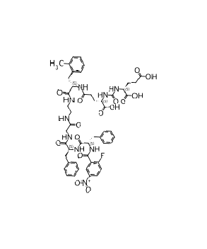 Cc1ccccc1C[C@H](NC(=O)CC[C@H](NC(=O)N[C@@H](CCC(=O)O)C(=O)O)C(=O)O)C(=O)NCCNC(=O)CNC(=O)[C@H](Cc1ccccc1)NC(=O)[C@H](Cc1ccccc1)NC(=O)c1cc([N+](=O)[O-])ccc1F